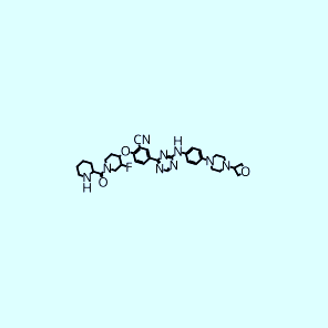 N#Cc1cc(-c2ncnc(Nc3ccc(N4CCN(C5COC5)CC4)cc3)n2)ccc1OC1CCN(C(=O)C2CCCCN2)CC1F